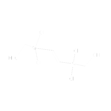 CC[Si](Cl)(Cl)C=C[Si](Cl)(Cl)CC